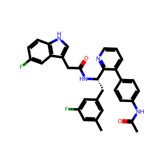 CC(=O)Nc1ccc(-c2cccnc2[C@H](Cc2cc(C)cc(F)c2)NC(=O)Cc2c[nH]c3ccc(F)cc23)cc1